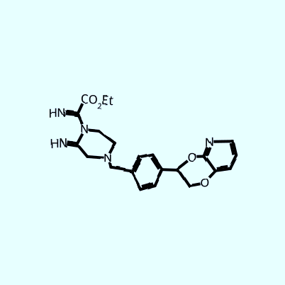 CCOC(=O)C(=N)N1CCN(Cc2ccc(C3COc4cccnc4O3)cc2)CC1=N